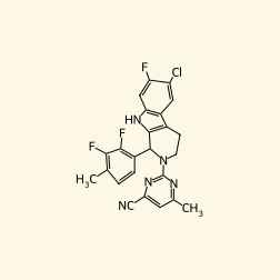 Cc1cc(C#N)nc(N2CCc3c([nH]c4cc(F)c(Cl)cc34)C2c2ccc(C)c(F)c2F)n1